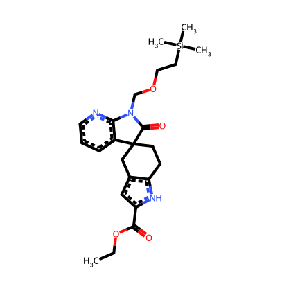 CCOC(=O)c1cc2c([nH]1)CCC1(C2)C(=O)N(COCC[Si](C)(C)C)c2ncccc21